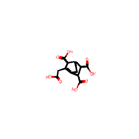 O=C(O)CC1=C2CC(C1C(=O)O)C(C(=O)O)C2C(=O)O